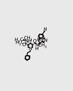 CC(C)(C)NC(=O)[C@@H]1C[C@H](C(=O)NC(C)(Cc2ccc(C#N)cc2)c2cnc[nH]2)CN(CCc2ccccc2)C1